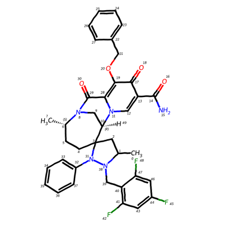 CC1CC2(CC[C@H](C)N3C[C@H]2n2cc(C(N)=O)c(=O)c(OCc4ccccc4)c2C3=O)N(c2ccccc2)N1Cc1c(F)cc(F)cc1F